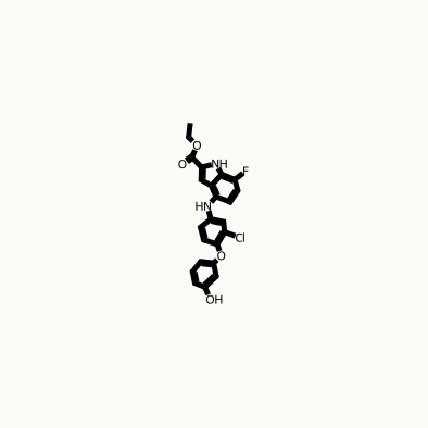 CCOC(=O)c1cc2c(Nc3ccc(Oc4cccc(O)c4)c(Cl)c3)ccc(F)c2[nH]1